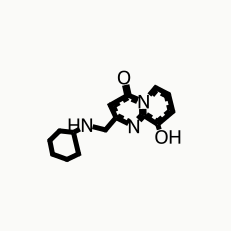 O=c1cc(CNC2CCCCC2)nc2c(O)cccn12